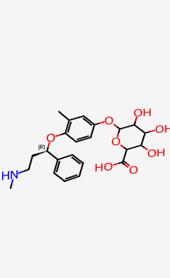 CNCC[C@@H](Oc1ccc(OC2OC(C(=O)O)C(O)C(O)C2O)cc1C)c1ccccc1